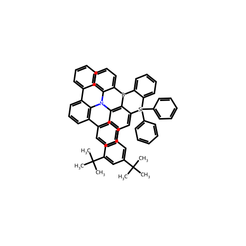 CC(C)(C)c1cc(-c2cc3c4c(c2)[Si](c2ccccc2)(c2ccccc2)c2ccccc2B4c2ccccc2N3c2c(-c3ccccc3)cccc2-c2ccccc2)cc(C(C)(C)C)c1